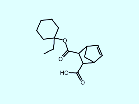 CCC1(OC(=O)C2C3C=CC(C3)C2C(=O)O)CCCCC1